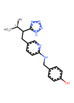 CCC[C@H](C(=O)O)C(Cc1ccc(NCc2ccc(O)cc2)nc1)c1nnn[nH]1